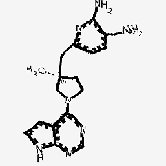 C[C@]1(Cc2ccc(N)c(N)n2)CCN(c2ncnc3[nH]ccc23)C1